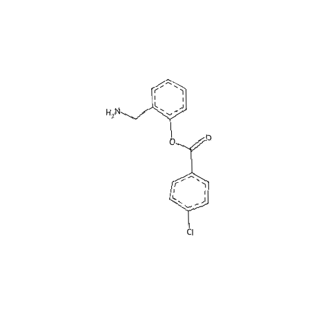 NCc1ccccc1OC(=O)c1ccc(Cl)cc1